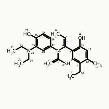 C=C(S)N(/C(=C\C)c1cc(CC)c(C)cc1O)c1ccc(O)c(N(CC)CC)c1